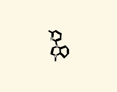 Cc1cccc(B2C=CN(C)c3ccccc32)n1